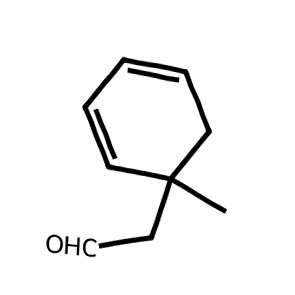 CC1(CC=O)C=CC=CC1